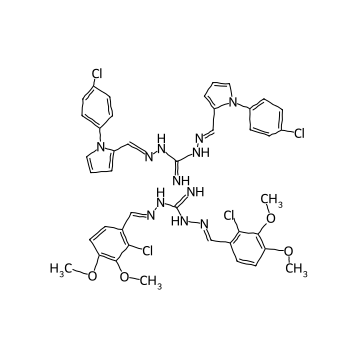 COc1ccc(/C=N/NC(=N)N/N=C/c2ccc(OC)c(OC)c2Cl)c(Cl)c1OC.N=C(N/N=C/c1cccn1-c1ccc(Cl)cc1)N/N=C/c1cccn1-c1ccc(Cl)cc1